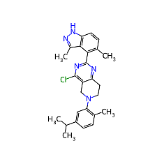 Cc1ccc(C(C)C)cc1N1CCc2nc(-c3c(C)ccc4[nH]nc(C)c34)nc(Cl)c2C1